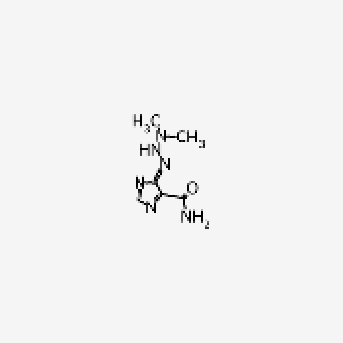 CN(C)NN=C1N=CN=C1C(N)=O